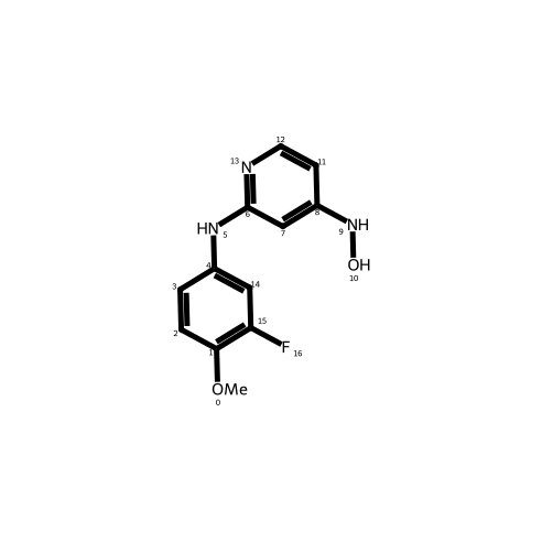 COc1ccc(Nc2cc(NO)ccn2)cc1F